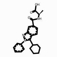 C[C@@H](NC(=O)c1ccc2c(C3CCCCC3)n(-c3ccccc3)nc2c1)C(=O)O